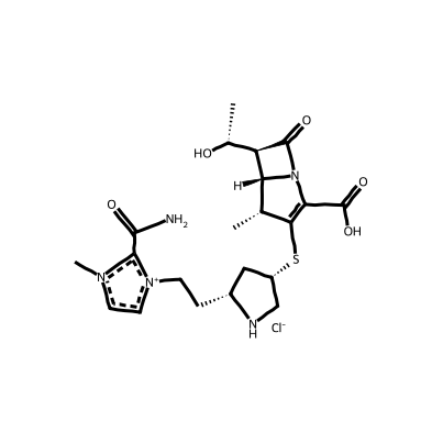 C[C@@H](O)[C@H]1C(=O)N2C(C(=O)O)=C(S[C@@H]3CN[C@H](CC[n+]4ccn(C)c4C(N)=O)C3)[C@H](C)[C@H]12.[Cl-]